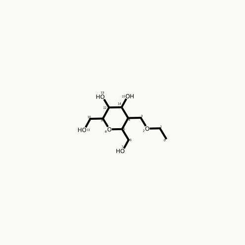 CCOCC1C(CO)OC(CO)C(O)C1O